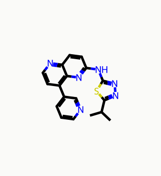 CC(C)c1nnc(Nc2ccc3nccc(-c4cccnc4)c3n2)s1